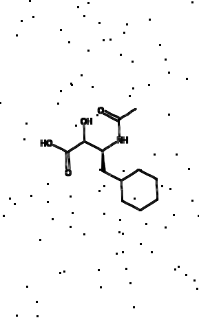 CC(=O)N[C@@H](CC1CCCCC1)C(O)C(=O)O